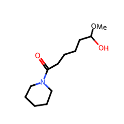 COC(O)CCCCC(=O)N1CCCCC1